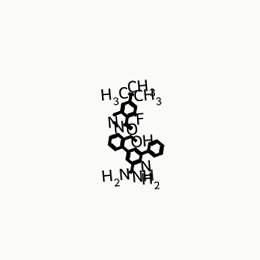 CC(C)(C)c1cc(F)c2c(=O)n(-c3cccc(-c4cc(C(=N)N)c(N)c(-c5ccccc5)c4)c3CO)ncc2c1